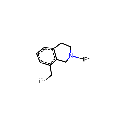 CC(C)Cc1cccc2c1CN(C(C)C)CC2